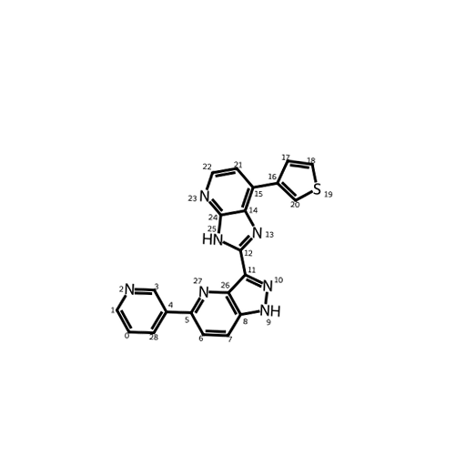 c1cncc(-c2ccc3[nH]nc(-c4nc5c(-c6ccsc6)ccnc5[nH]4)c3n2)c1